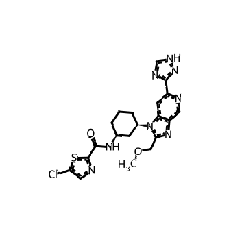 COCc1nc2cnc(-c3nc[nH]n3)cc2n1[C@@H]1CCC[C@H](NC(=O)c2ncc(Cl)s2)C1